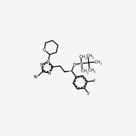 CC(C)(C)[Si](C)(C)O[C@H](CCc1nc(Br)nn1C1CCCCO1)c1ccc(F)c(F)c1